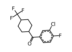 O=C(c1ccc(F)c(Cl)c1)C1CCC(C(F)(F)F)CC1